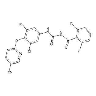 N#Cc1ccc(Oc2c(Cl)cc(NC(=O)NC(=O)c3c(F)cccc3F)cc2Br)nc1